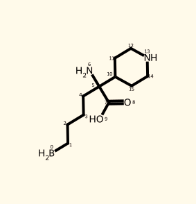 BCCCCC(N)(C(=O)O)C1CCNCC1